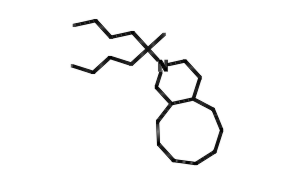 CCCCC(C)(CCCC)N1CCC2CCCCCCCC2C1